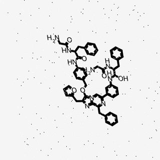 NCC(=O)NC(Cc1ccccc1)C(=O)Nc1ccc(COc2c(Cc3ccco3)nc3c(Cc4ccccc4)nc(-c4cccc(NC(O)C(Cc5ccccc5)NC(=O)CN)c4)cn23)cc1